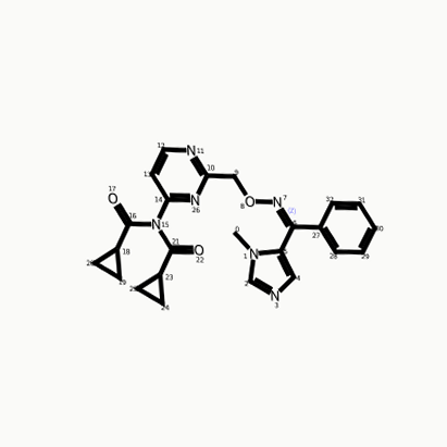 Cn1cncc1/C(=N\OCc1nccc(N(C(=O)C2CC2)C(=O)C2CC2)n1)c1ccccc1